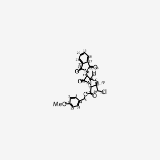 COc1ccc(COC(=O)C2N3C(=O)C(N4C(=O)c5ccccc5C4=O)[C@@H]3S[C@@]2(C)CCl)cc1